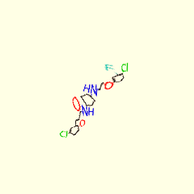 O=C(NC1CCC(NCCOc2ccc(Cl)c(F)c2)CC1)c1cc2cc(Cl)ccc2o1